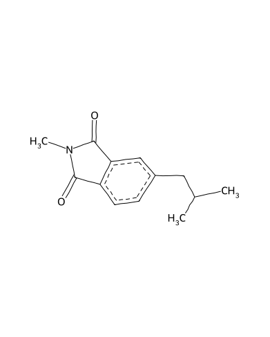 CC(C)Cc1ccc2c(c1)C(=O)N(C)C2=O